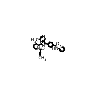 CC#CC(=O)N1CCCCC1c1nc(-c2ccc(C(=O)Nc3ccccn3)cc2)c2cncc(C)n12